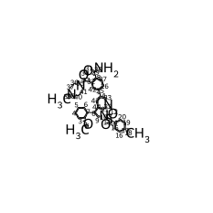 COc1ccccc1-c1cn(S(=O)(=O)c2ccc(C)cc2)c2ncc(-c3ccc(C(N)=O)c(C(=O)N4CCN(C)CC4)c3)cc12